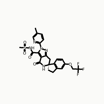 Cc1ccc(-n2nc3c(c2C(=O)NS(C)(=O)=O)C(=O)N[C@@]2(CCc4cc(OCC(F)(F)F)ccc42)C3)nc1